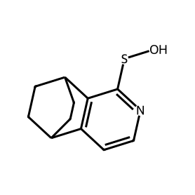 OSc1nccc2c1C1CCC2CC1